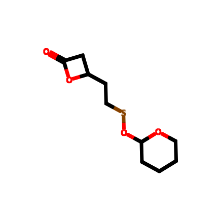 O=C1CC(CCSOC2CCCCO2)O1